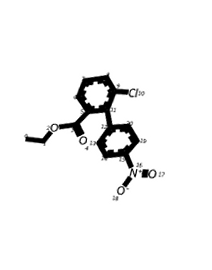 CCOC(=O)c1cccc(Cl)c1-c1ccc([N+](=O)[O-])cc1